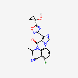 COC1(c2nc(-c3ncn4c3c(=O)n(C(C)C)c3c(C#N)c(F)ccc34)no2)CC1